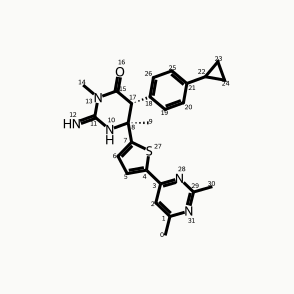 Cc1cc(-c2ccc([C@@]3(C)NC(=N)N(C)C(=O)[C@@H]3c3ccc(C4CC4)cc3)s2)nc(C)n1